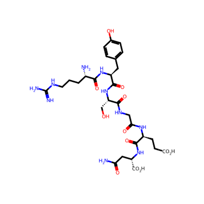 N=C(N)NCCC[C@H](N)C(=O)N[C@@H](Cc1ccc(O)cc1)C(=O)N[C@@H](CO)C(=O)NCC(=O)N[C@@H](CCC(=O)O)C(=O)N[C@@H](CC(N)=O)C(=O)O